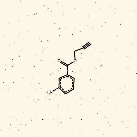 C#CCOC(=O)c1cccc(N)c1